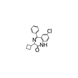 O=C1Nc2ccc(Cl)cc2C(c2ccccc2)=NC1C1CCC1